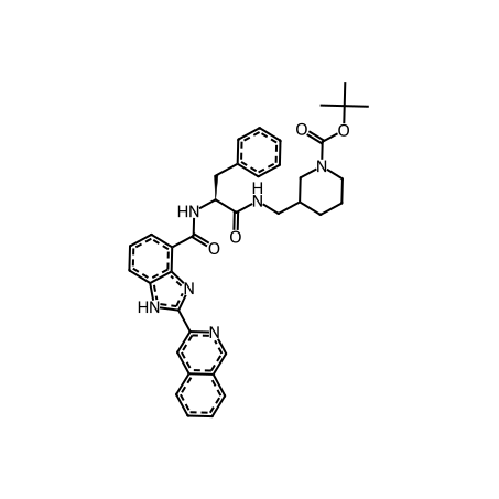 CC(C)(C)OC(=O)N1CCCC(CNC(=O)[C@H](Cc2ccccc2)NC(=O)c2cccc3[nH]c(-c4cc5ccccc5cn4)nc23)C1